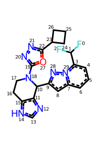 FC(F)c1cccc2cc(C3c4nc[nH]c4CCN3c3nnc(C4CCC4)o3)nn12